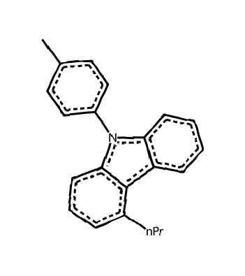 CCCc1cccc2c1c1ccccc1n2-c1ccc(C)cc1